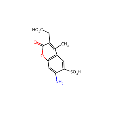 Cc1c(CC(=O)O)c(=O)oc2cc(N)c(S(=O)(=O)O)cc12